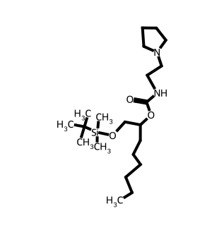 CCCCCCC(CO[Si](C)(C)C(C)(C)C)OC(=O)NCCN1CCCC1